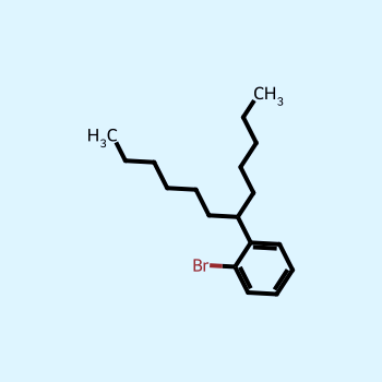 CCCCCCC(CCCCC)c1ccccc1Br